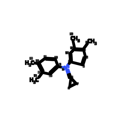 Cc1ccc([N+](=C2CC2)c2ccc(C)c(C)c2)cc1C